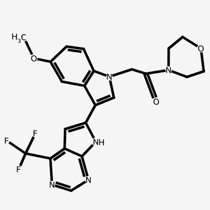 COc1ccc2c(c1)c(-c1cc3c(C(F)(F)F)ncnc3[nH]1)cn2CC(=O)N1CCOCC1